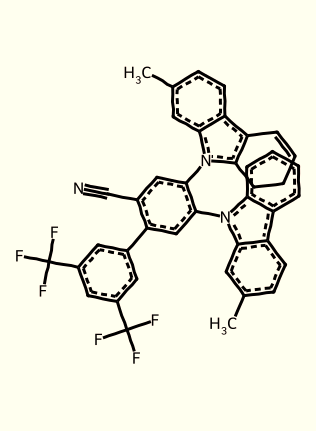 Cc1ccc2c3c(n(-c4cc(C#N)c(-c5cc(C(F)(F)F)cc(C(F)(F)F)c5)cc4-n4c5ccccc5c5ccc(C)cc54)c2c1)CCC=C3